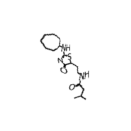 CC(C)CC(=O)NCCC1SC(NC2CCCCCC2)=NC1=O